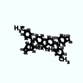 CCCCCCC1(CCCCCC)c2cc(N(c3ccc(C)cc3)c3ccc4c(c3)CC4)ccc2-c2ccc(N(c3ccc(C)cc3)c3ccc4c(c3)CC4)cc21